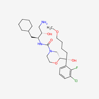 COCCCC[C@@](O)(c1cccc(Cl)c1F)[C@H]1CN(C(=O)N[C@@H](CC2CCCCC2)[C@@H](O)CN)CCO1